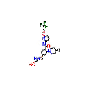 O=C(Nc1cccc(OCCC(F)(F)F)n1)c1ccc(SNCCO)cc1N1CCC2(CC1)CC2